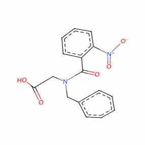 O=C(O)CN(Cc1ccccc1)C(=O)c1ccccc1[N+](=O)[O-]